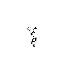 Cn1cnc2cc(-c3ccc(N(C4CC4)C4CCCC4F)nn3)c(O)cc2c1=O